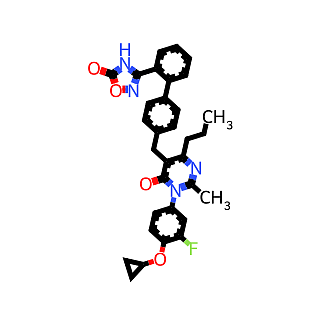 CCCc1nc(C)n(-c2ccc(OC3CC3)c(F)c2)c(=O)c1Cc1ccc(-c2ccccc2-c2noc(=O)[nH]2)cc1